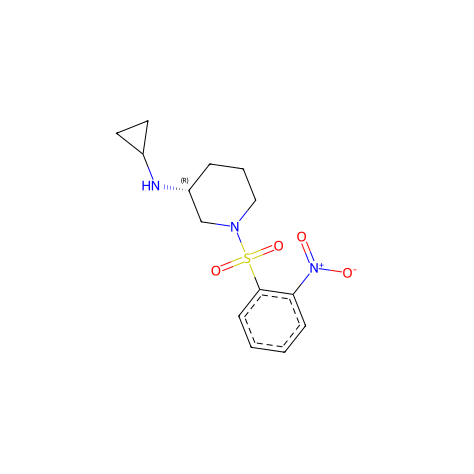 O=[N+]([O-])c1ccccc1S(=O)(=O)N1CCC[C@@H](NC2CC2)C1